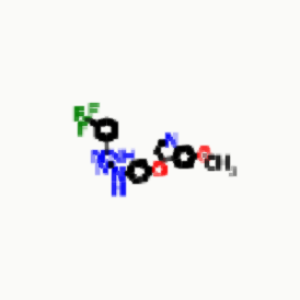 COc1ccc2c(c1)N=CCC2Oc1ccc(Nc2nnc(-c3cccc(C(F)(F)F)c3)[nH]2)cc1